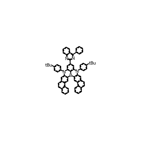 CC(C)(C)c1ccc(N2c3cc4ccc5ccccc5c4cc3B3c4cc5c(ccc6ccccc65)cc4N(c4ccc(C(C)(C)C)cc4)c4cc(-c5nc(-c6ccccc6)c6ccccc6n5)cc2c43)cc1